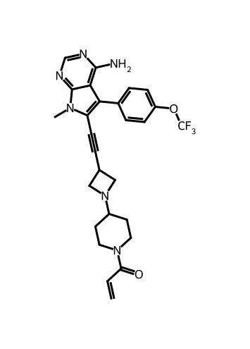 C=CC(=O)N1CCC(N2CC(C#Cc3c(-c4ccc(OC(F)(F)F)cc4)c4c(N)ncnc4n3C)C2)CC1